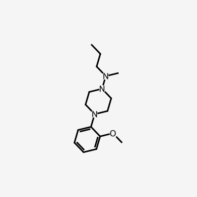 CCCN(C)N1CCN(c2ccccc2OC)CC1